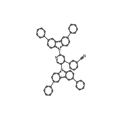 N#Cc1cccc(-c2cc(-n3c4ccc(-c5ccccc5)cc4c4cc(-c5ccccc5)ccc43)ncc2-n2c3ccc(-c4ccccc4)cc3c3cc(-c4ccccc4)ccc32)c1